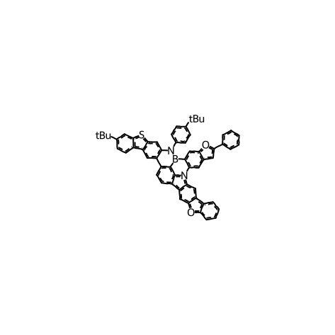 CC(C)(C)c1ccc(N2B3c4cc5oc(-c6ccccc6)cc5cc4-n4c5cc6c(cc5c5ccc(c3c54)-c3cc4c(cc32)sc2cc(C(C)(C)C)ccc24)oc2ccccc26)cc1